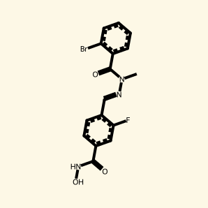 CN(N=Cc1ccc(C(=O)NO)cc1F)C(=O)c1ccccc1Br